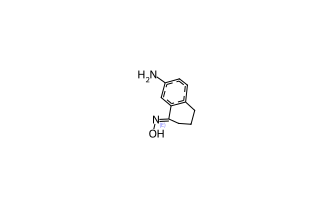 Nc1ccc2c(c1)/C(=N/O)CCC2